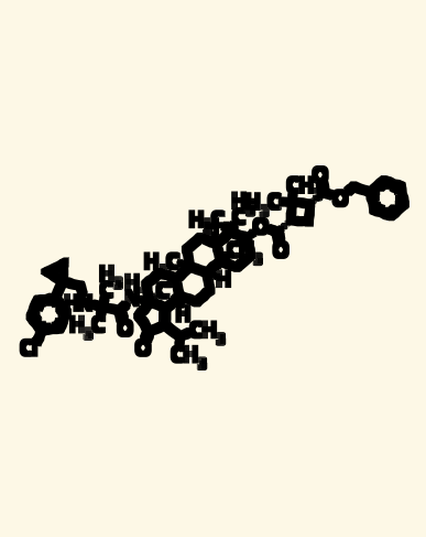 CC(C)C1=C2[C@H]3CC[C@@H]4[C@@]5(C)CC[C@H](OC(=O)[C@H]6C[C@@H](C(=O)OCc7ccccc7)C6(C)C)C(C)(C)[C@@H]5CC[C@@]4(C)[C@]3(C)CC[C@@]2(NC(=O)C(C)(C)NCC2(c3ccc(Cl)cc3)CC2)CC1=O